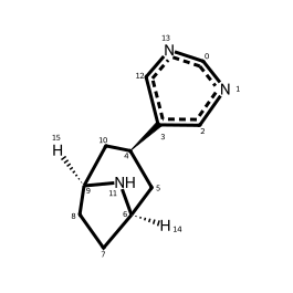 c1ncc([C@H]2C[C@H]3CC[C@@H](C2)N3)cn1